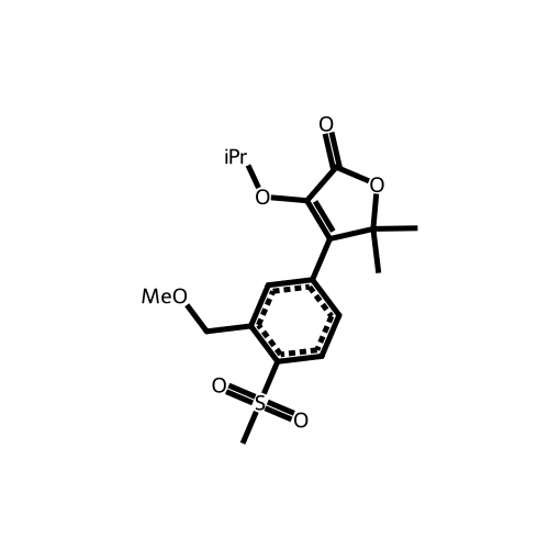 COCc1cc(C2=C(OC(C)C)C(=O)OC2(C)C)ccc1S(C)(=O)=O